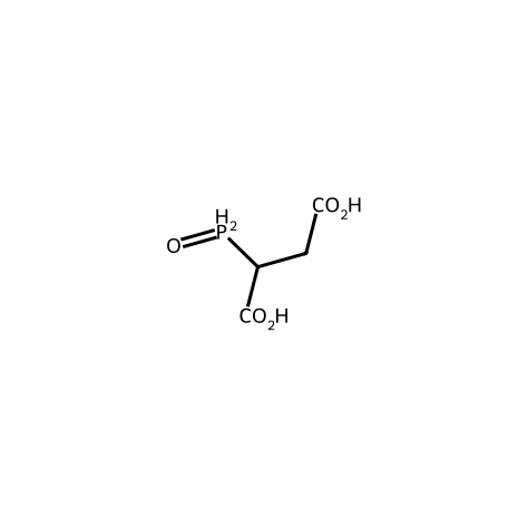 O=[PH2]C(CC(=O)O)C(=O)O